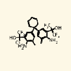 Cc1cc(C2(c3cc(C)c(N)c(C(O)(C(F)(F)F)C(F)(F)F)c3)CCCCC2)cc(C(O)(C(F)(F)F)C(F)(F)F)c1N